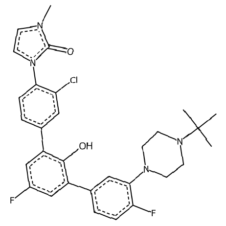 Cn1ccn(-c2ccc(-c3cc(F)cc(-c4ccc(F)c(N5CCN(C(C)(C)C)CC5)c4)c3O)cc2Cl)c1=O